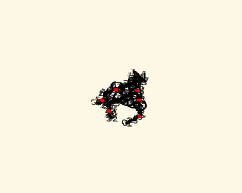 CCCCC/C=C\CCCOC(=O)CCCN(CCCC(=O)OCCC/C=C\CCCCC)CCCN(CCCC(=O)OCCC/C=C\CCCCC)c1ccncc1